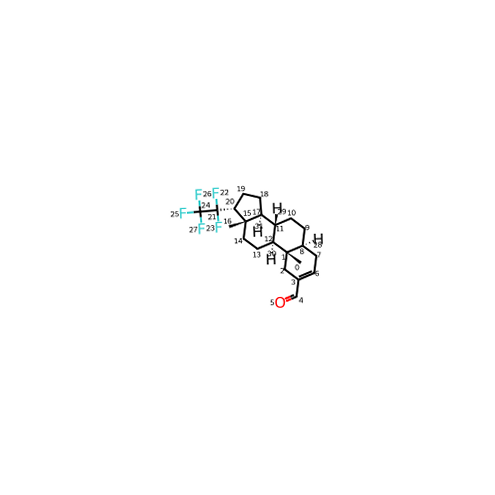 C[C@]12CC(C=O)=CC[C@@H]1CC[C@@H]1[C@@H]2CC[C@@]2(C)[C@H]1CC[C@H]2C(F)(F)C(F)(F)F